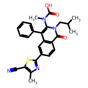 Cc1nc(-c2ccc3c(=O)n(CC(C)C)c(N(C)C(=O)O)c(-c4ccccc4)c3c2)sc1C#N